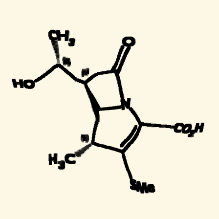 CSC1=C(C(=O)O)N2C(=O)[C@H]([C@@H](C)O)C2[C@H]1C